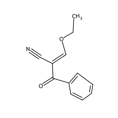 CCOC=C(C#N)C(=O)c1ccccc1